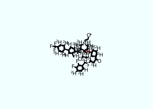 [2H]c1c([2H])c(F)c(F)c(CSc2c([2H])c(=O)c3c([2H])c([2H])c([2H])c([2H])c3n2C([2H])([2H])C(=O)N(C([2H])([2H])c2c([2H])c([2H])c(-c3c([2H])c([2H])c(C(F)(F)F)c([2H])c3[2H])c([2H])c2C)C2([2H])C([2H])([2H])C([2H])([2H])N(CCOC)C([2H])([2H])C2([2H])[2H])c1[2H]